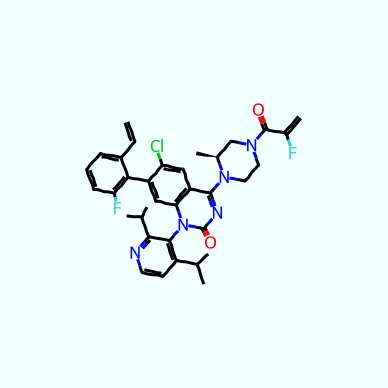 C=Cc1cccc(F)c1-c1cc2c(cc1Cl)c(N1CCN(C(=O)C(=C)F)C[C@@H]1C)nc(=O)n2-c1c(C(C)C)ccnc1C(C)C